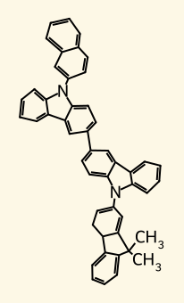 CC1(C)C2=CC(n3c4ccccc4c4cc(-c5ccc6c(c5)c5ccccc5n6-c5ccc6ccccc6c5)ccc43)=CCC2c2ccccc21